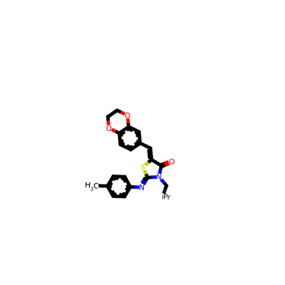 Cc1ccc(/N=C2\S/C(=C\c3ccc4c(c3)OCCO4)C(=O)N2CC(C)C)cc1